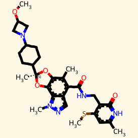 COC1CN(C2CCC([C@@]3(C)Oc4c(C)c(C(=O)NCc5c(SC)cc(C)[nH]c5=O)c5cnn(C)c5c4O3)CC2)C1